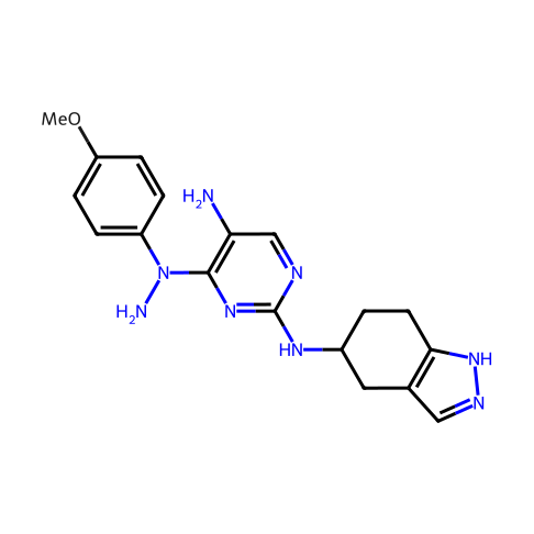 COc1ccc(N(N)c2nc(NC3CCc4[nH]ncc4C3)ncc2N)cc1